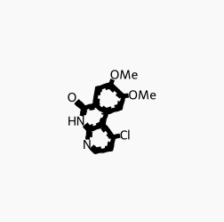 COc1cc2c(=O)[nH]c3nccc(Cl)c3c2cc1OC